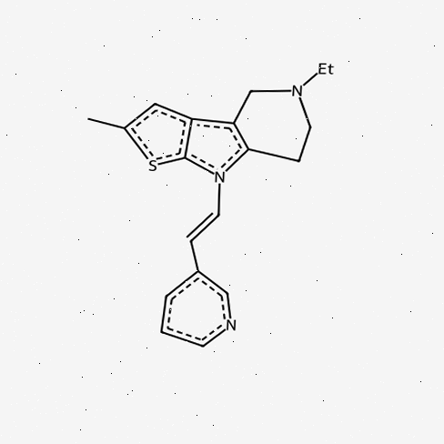 CCN1CCc2c(c3cc(C)sc3n2/C=C/c2cccnc2)C1